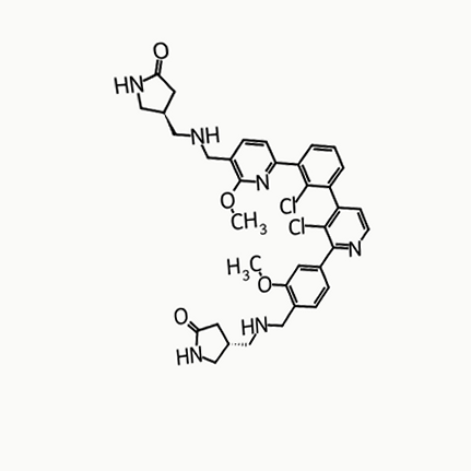 COc1cc(-c2nccc(-c3cccc(-c4ccc(CNC[C@H]5CNC(=O)C5)c(OC)n4)c3Cl)c2Cl)ccc1CNC[C@@H]1CNC(=O)C1